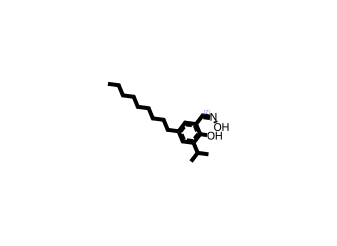 CCCCCCCCCc1cc(/C=N\O)c(O)c(C(C)C)c1